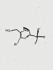 Oc1ccc(C(F)(F)F)nc1Br